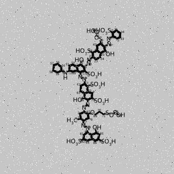 Cc1cc(N=Nc2c(S(=O)(=O)O)cc3c(S(=O)(=O)O)c(N=Nc4c(S(=O)(=O)O)c(N=Nc5ccc6c(O)c(N=Nc7ccccc7S(=O)(=O)O)c(SOOO)cc6c5S(=O)(=O)O)c(O)c5ccc(Nc6ccccc6)cc45)ccc3c2O)c(OCCCSOOO)cc1N=Nc1cc(S(=O)(=O)O)cc2cc(S(=O)(=O)O)cc(O)c12